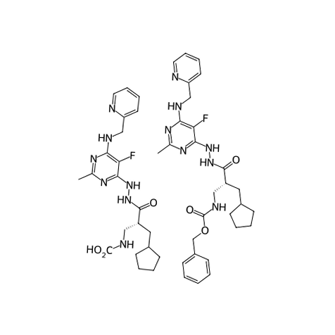 Cc1nc(NCc2ccccn2)c(F)c(NNC(=O)[C@@H](CNC(=O)O)CC2CCCC2)n1.Cc1nc(NCc2ccccn2)c(F)c(NNC(=O)[C@@H](CNC(=O)OCc2ccccc2)CC2CCCC2)n1